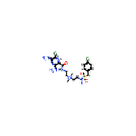 C[N+](C)(CCNC(=O)c1nc(Cl)c(N)nc1N)CCNS(=O)(=O)Cc1ccc(Cl)cc1